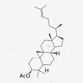 CC(=O)O[C@H]1CC[C@]23C[C@]24CC[C@]2(C)[C@@H]([C@H](C)CCC=C(C)C)CC[C@@]2(C)[C@@H]4CC[C@H]3C1(C)C